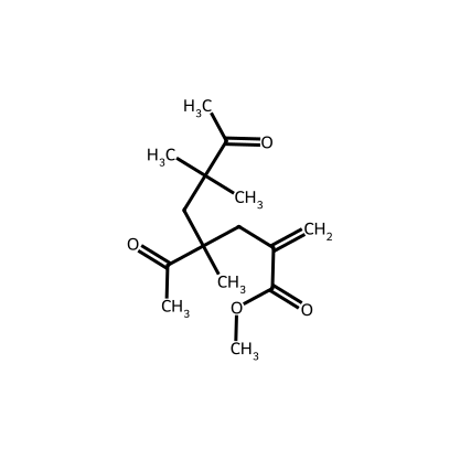 C=C(CC(C)(CC(C)(C)C(C)=O)C(C)=O)C(=O)OC